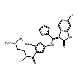 CN(C)CCN(C)C(=O)c1cc(N/C(=C2\C(=O)Nc3cc(Cl)ccc32)c2ccsc2)cn1C